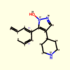 C=C/C=C(\C=C/C)c1c(C2CCNCC2)cnn1O